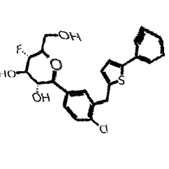 OCC1OC(c2ccc(Cl)c(Cc3ccc(-c4ccccc4)s3)c2)[C@H](O)C(O)[C@@H]1F